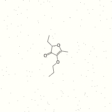 CCCOC1=C(C)OC(CC)C1=O